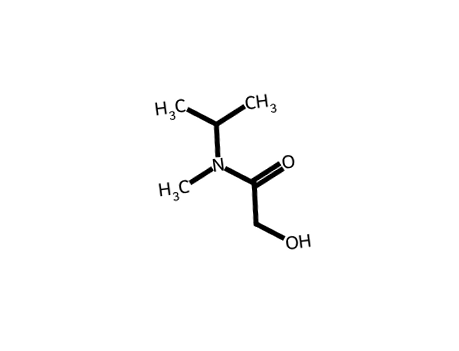 CC(C)N(C)C(=O)CO